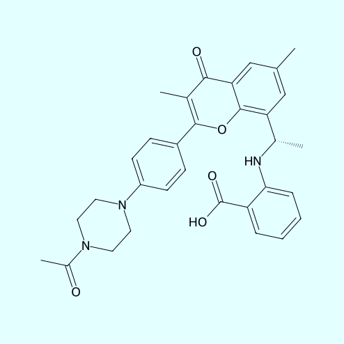 CC(=O)N1CCN(c2ccc(-c3oc4c([C@H](C)Nc5ccccc5C(=O)O)cc(C)cc4c(=O)c3C)cc2)CC1